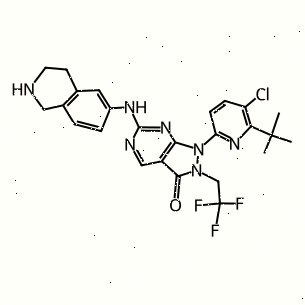 CC(C)(C)c1nc(-n2c3nc(Nc4ccc5c(c4)CCNC5)ncc3c(=O)n2CC(F)(F)F)ccc1Cl